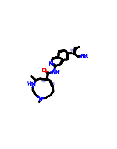 C/C=C(\C=N)c1ccc2cnc(NC(=O)C3=C/C(C)NCCN(C)CCC/C=C\3)cc2c1